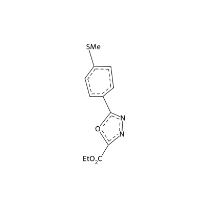 CCOC(=O)c1nnc(-c2ccc(SC)cc2)o1